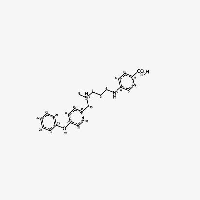 C[SiH](CCCNc1ccc(C(=O)O)cc1)Cc1ccc(Oc2ccccc2)cc1